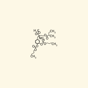 CCCCOC(=O)Oc1ccc(C[C@](N)(CCOC(=O)C(C)CC)C(=O)OC)cc1OC(=O)OCCCC